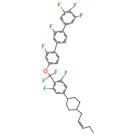 CC/C=C\CC1CCC(c2cc(F)c(C(F)(F)Oc3ccc(-c4ccc(-c5cc(F)c(F)c(F)c5)c(F)c4)c(F)c3)c(F)c2)CC1